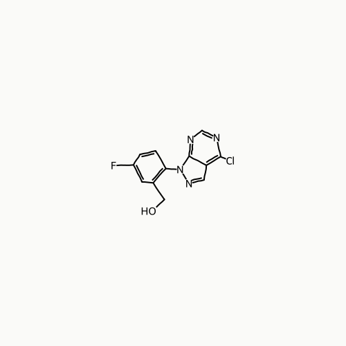 OCc1cc(F)ccc1-n1ncc2c(Cl)ncnc21